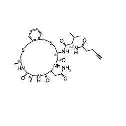 C#CCCC(=O)N[C@H](C(=O)N[C@@H]1CSCc2ccccc2CSC[C@H](C)NC(=O)[C@H](C)NC(=O)C(CC(N)=O)NC1=O)C(C)C